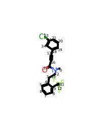 CN(CCc1ccccc1C(F)(F)F)C(=O)C#Cc1cccc(Cl)c1